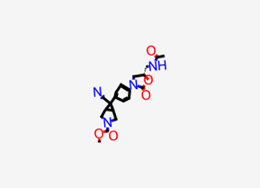 COC(=O)N1CC2C(C1)C2(C#N)c1ccc(N2C[C@H](CNC(C)=O)OC2=O)cc1